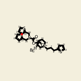 O=C(O[C@H]1C[N+]2(CCCc3cccs3)CCC1CC2)N(Cc1cccs1)Cc1cccs1.[Br-]